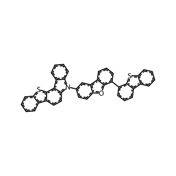 c1ccc2c(c1)sc1c(-c3cccc4c3oc3ccc(-n5c6ccccc6c6c7sc8ccccc8c7ccc65)cc34)cccc12